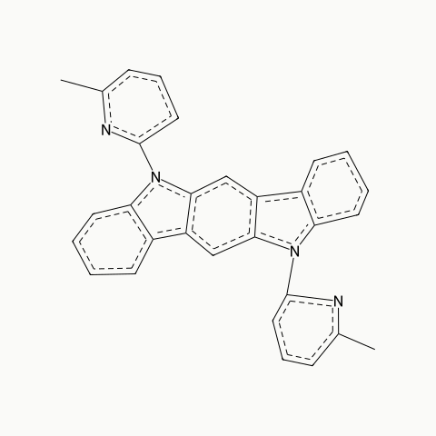 Cc1cccc(-n2c3ccccc3c3cc4c(cc32)c2ccccc2n4-c2cccc(C)n2)n1